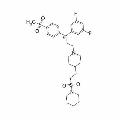 CS(=O)(=O)c1ccc([C@@H](CCN2CCC(CCS(=O)(=O)N3CCCCC3)CC2)c2cc(F)cc(F)c2)cc1